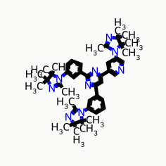 CC1=NC(C)(C)C(C)(C)N1c1cccc(-c2cc(-c3cncc(N4C(C)=NC(C)(C)C4(C)C)c3)nc(-c3cccc(N4C(C)=NC(C)(C)C4(C)C)c3)n2)c1